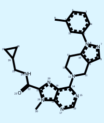 Cc1cccc(-n2ncc3c2CCN(c2ncnc4c2nc(C(=O)NCC2CC2)n4C)C3)c1